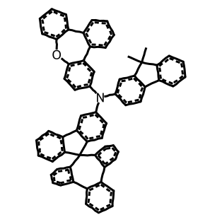 CC1(C)c2ccccc2-c2ccc(N(c3ccc4c(c3)-c3ccccc3-c3ccccc3O4)c3ccc4c(c3)-c3ccccc3C43c4ccccc4-c4ccccc4-c4ccccc43)cc21